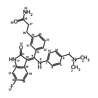 CN(C)Cc1ccc(NC(=C2C(=O)Nc3cc(F)ccc32)c2cccc(CCC(N)=O)c2)cc1